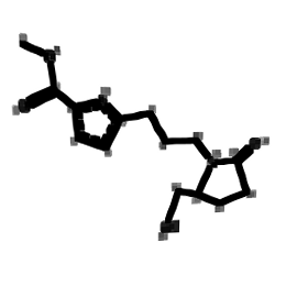 COC(=O)c1ccc(CCCN2C(=O)CCC2CO)s1